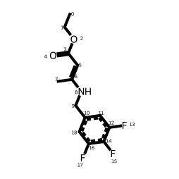 CCOC(=O)/C=C(\C)NCc1cc(F)c(F)c(F)c1